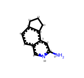 Nc1cc2c3c(ccc2cn1)CCC3